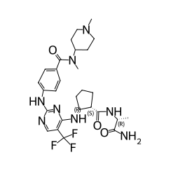 C[C@@H](NC(=O)[C@H]1CCC[C@H]1Nc1nc(Nc2ccc(C(=O)N(C)C3CCN(C)CC3)cc2)ncc1C(F)(F)F)C(N)=O